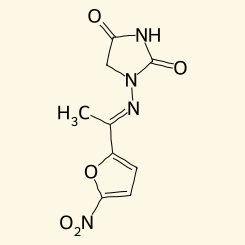 C/C(=N\N1CC(=O)NC1=O)c1ccc([N+](=O)[O-])o1